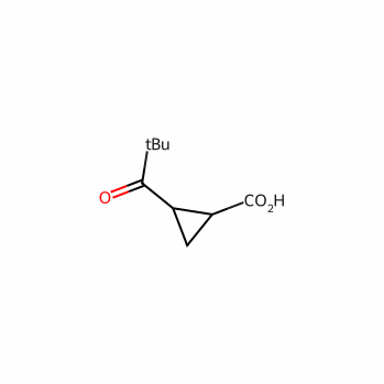 CC(C)(C)C(=O)C1CC1C(=O)O